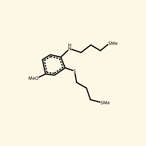 COc1ccc(NCCCSC)c(SCCCSC)c1